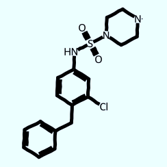 O=S(=O)(Nc1ccc(Cc2ccccc2)c(Cl)c1)N1CC[N]CC1